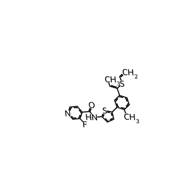 C=CS/C(=C\C)c1ccc(C)c(-c2ccc(NC(=O)c3ccncc3F)s2)c1